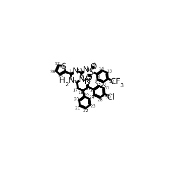 N/C(=N\C(=N\S(=O)(=O)c1ccc(C(F)(F)F)cc1)N1CCC(c2ccccc2)C(c2ccc(Cl)cc2)=N1)c1cccs1